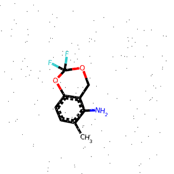 Cc1ccc2c(c1N)COC(F)(F)O2